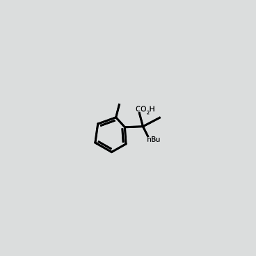 CCCCC(C)(C(=O)O)c1ccccc1C